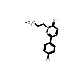 N=c1ccc(-c2ccc(Cl)cc2)nn1CCC(=O)O